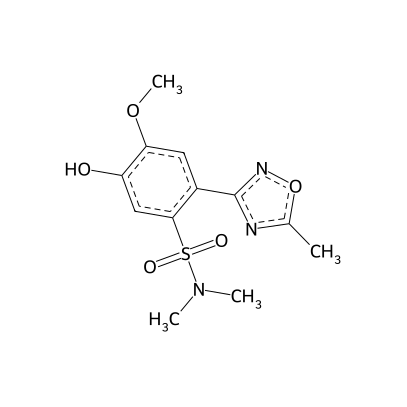 COc1cc(-c2noc(C)n2)c(S(=O)(=O)N(C)C)cc1O